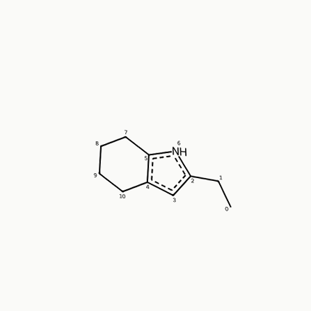 CCc1cc2c([nH]1)CCCC2